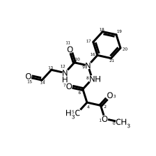 COC(=O)C(C)C(=O)NN(C(=O)NC[C]=O)c1ccccc1